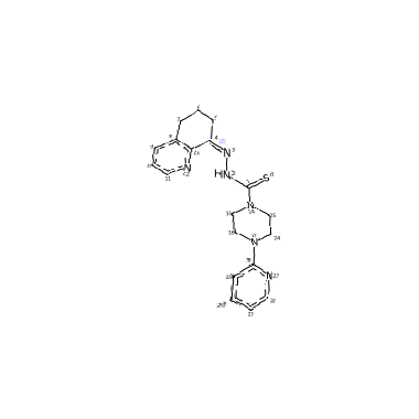 S=C(N/N=C1/CCCc2cccnc21)N1CCN(c2ccccn2)CC1